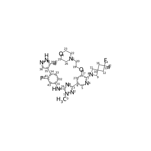 Cn1nc(-c2cnc(N3CC4(C3)CC(F)(F)C4)c(OCCN3CCOCC3)c2)nc1Nc1ccc(-c2cn[nH]c2F)c(F)c1